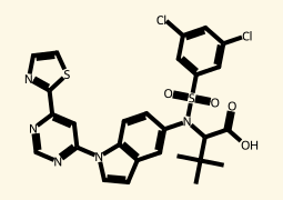 CC(C)(C)C(C(=O)O)N(c1ccc2c(ccn2-c2cc(-c3nccs3)ncn2)c1)S(=O)(=O)c1cc(Cl)cc(Cl)c1